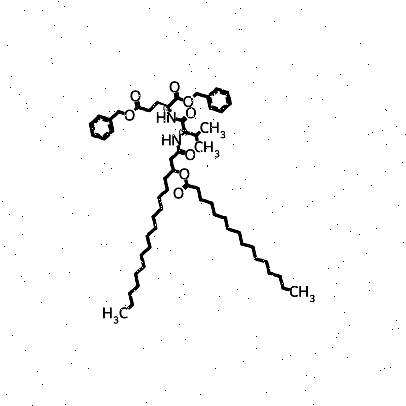 CCCCCCCCCCCCCCCC(=O)OC(CCCCCCCCCCCCCCC)CC(=O)N[C@H](C(=O)N[C@@H](CCC(=O)OCc1ccccc1)C(=O)OCc1ccccc1)C(C)C